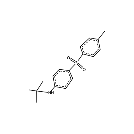 Cc1ccc(S(=O)(=O)c2ccc(NC(C)(C)C)cc2)cc1